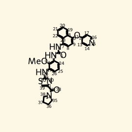 COc1c(NC(=O)Nc2ccc(Oc3ccncc3)c3ccccc23)cccc1Nc1nc(C(=O)N2CCCC2)cs1